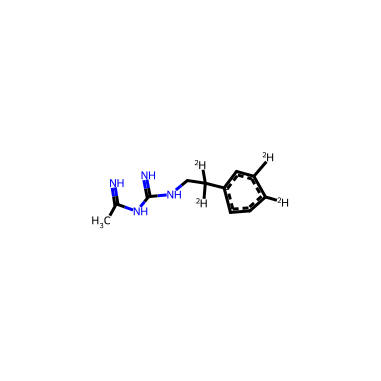 [2H]c1ccc(C([2H])([2H])CNC(=N)NC(C)=N)cc1[2H]